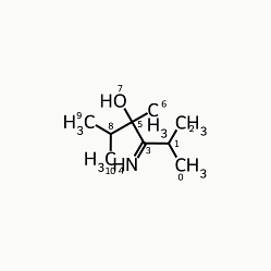 CC(C)C(=N)C(C)(O)C(C)C